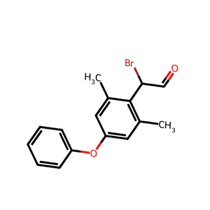 Cc1cc(Oc2ccccc2)cc(C)c1C(Br)C=O